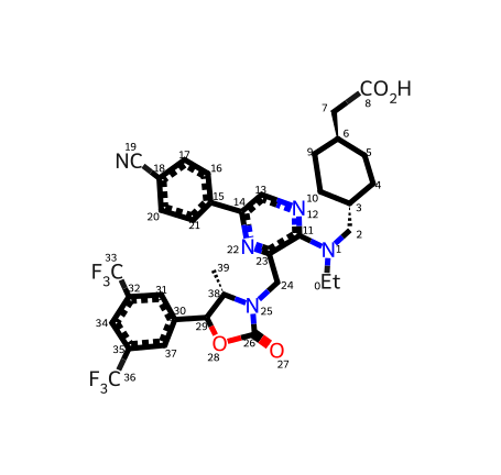 CCN(C[C@H]1CC[C@H](CC(=O)O)CC1)c1ncc(-c2ccc(C#N)cc2)nc1CN1C(=O)OC(c2cc(C(F)(F)F)cc(C(F)(F)F)c2)[C@@H]1C